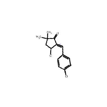 CC1(C)CC(Cl)/C(=C\c2ccc(Cl)cc2)C1=O